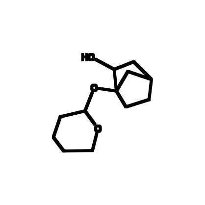 OC1CC2CCC1(OC1CCCCO1)C2